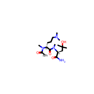 CCCC(=O)N(C)[C@H](CCCN(C)C)C(=O)N(C)[C@@H](CC(C)(C)O)C(N)=O